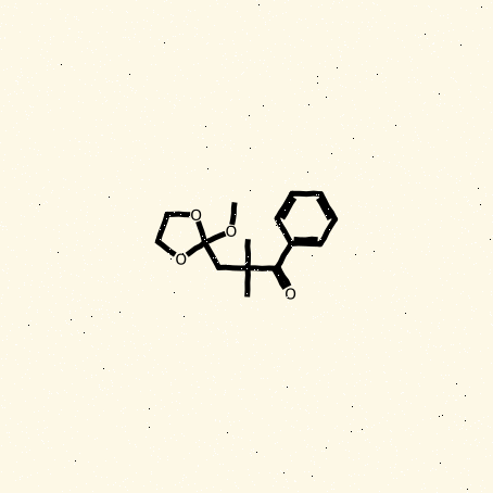 COC1(CC(C)(C)C(=O)c2ccccc2)OCCO1